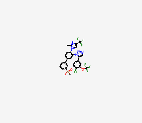 Cc1nc(C(F)(F)F)cn1-c1ccc(-c2cccc(S(C)(=O)=O)c2)cc1-n1nncc1-c1ccc(Cl)c(OC(F)(F)F)c1